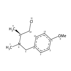 COc1ccc(CN(C)[C@@H](C)CCl)cc1